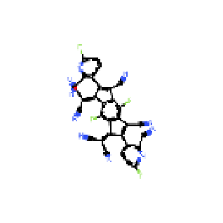 N#CC(C#N)=C1C(c2ccc(F)nc2C#N)=C(C#N)c2c(F)c3c(c(F)c21)C(=C(C#N)C#N)C(c1ccc(F)nc1C#N)=C3C#N